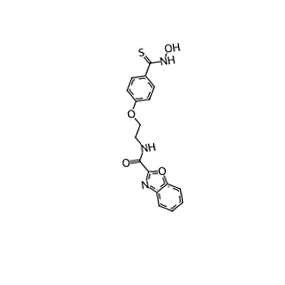 O=C(NCCOc1ccc(C(=S)NO)cc1)c1nc2ccccc2o1